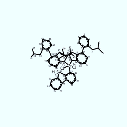 CC(C)Cc1ccccc1-c1cccc2c1C=C(C(C)C)[CH]2[Zr]([Cl])([Cl])([c]1cccc2c1[SiH2]c1ccccc1-2)[CH]1C(C(C)C)=Cc2c(-c3ccccc3CC(C)C)cccc21